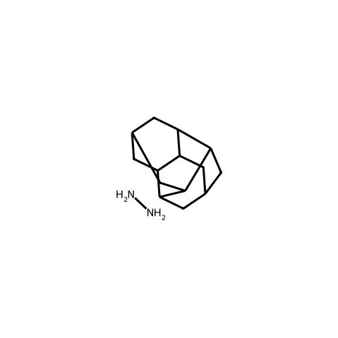 C1C2CC3C4CC5CC(C14)C(C2)C3C5.NN